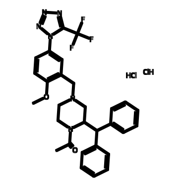 COc1ccc(-n2nnnc2C(F)(F)F)cc1CN1CCN(C(C)=O)C(C(c2ccccc2)c2ccccc2)C1.Cl.Cl